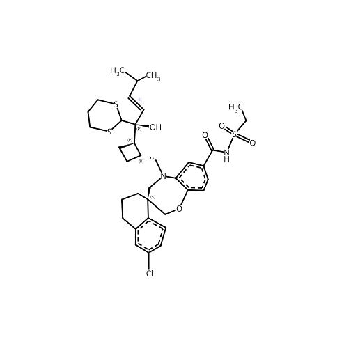 CCS(=O)(=O)NC(=O)c1ccc2c(c1)N(C[C@@H]1CC[C@H]1[C@@](O)(/C=C/C(C)C)C1SCCCS1)C[C@@]1(CCCc3cc(Cl)ccc31)CO2